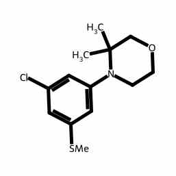 CSc1cc(Cl)cc(N2CCOCC2(C)C)c1